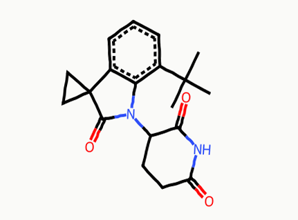 CC(C)(C)c1cccc2c1N(C1CCC(=O)NC1=O)C(=O)C21CC1